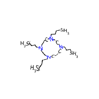 [SiH3]CCCN1CCCN(CCC[SiH3])CCN(CCC[SiH3])CCCN(CCC[SiH3])CC1